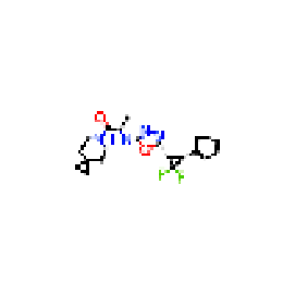 C[C@@H](Nc1nnc([C@@H]2[C@@H](c3ccccc3)C2(F)F)o1)C(=O)N1CCC2(CC1)CC2